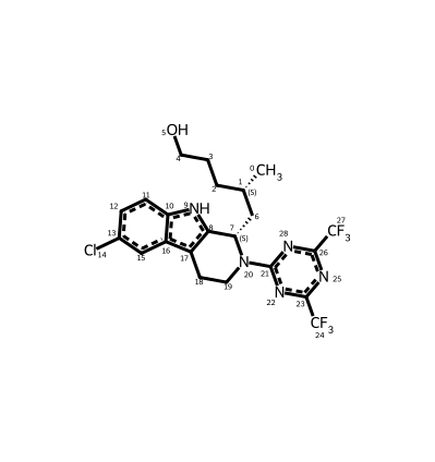 C[C@@H](CCCO)C[C@H]1c2[nH]c3ccc(Cl)cc3c2CCN1c1nc(C(F)(F)F)nc(C(F)(F)F)n1